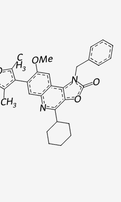 COc1cc2c(cc1-c1c(C)noc1C)nc(C1CCCCC1)c1oc(=O)n(Cc3ccccc3)c12